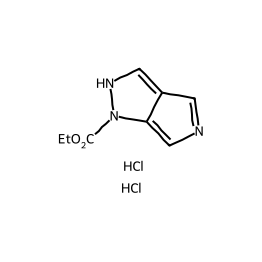 CCOC(=O)n1[nH]cc2cncc1-2.Cl.Cl